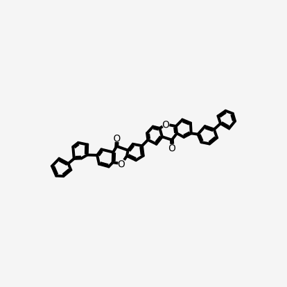 O=c1c2cc(-c3cccc(-c4ccccc4)c3)ccc2oc2ccc(-c3ccc4oc5ccc(-c6cccc(-c7ccccc7)c6)cc5c(=O)c4c3)cc12